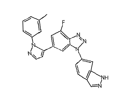 Cc1cccc(-n2nccc2-c2cc(F)c3nnn(-c4ccc5cn[nH]c5c4)c3c2)c1